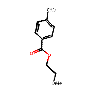 COCCOC(=O)c1ccc(C=O)cc1